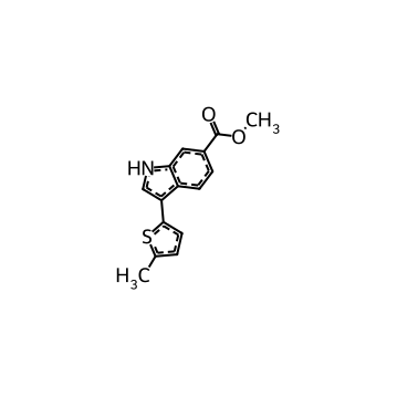 COC(=O)c1ccc2c(-c3ccc(C)s3)c[nH]c2c1